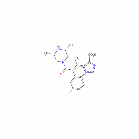 Cc1c(C(=O)N2C[C@@H](C)N[C@@H](C)C2)c2cc(F)ccc2n2cnc(C(=O)O)c12